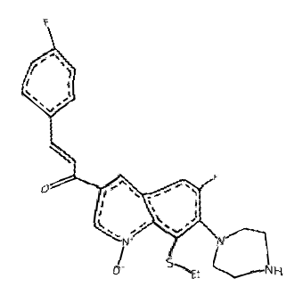 CCSc1c(N2CCNCC2)c(F)cc2cc(C(=O)C=Cc3ccc(F)cc3)c[n+]([O-])c12